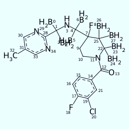 BC(B)(NC(B)(B)C1(F)CCN(C(=O)c2ccc(F)c(Cl)c2)C(B)(B)C1(B)B)c1ncc(C)cn1